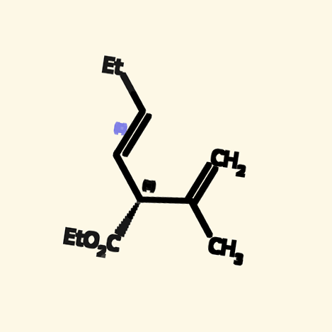 C=C(C)[C@@H](/C=C/CC)C(=O)OCC